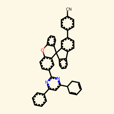 N#Cc1ccc(-c2ccc3c(c2)C2(c4ccccc4Oc4ccc(-c5nc(-c6ccccc6)cc(C6C=CC=CC6)n5)cc42)c2ccccc2-3)cc1